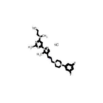 Cc1c(/C=C/CN2CCN(c3cc(F)cc(F)c3)CC2)cnn1-c1cc(N(C)CCO)nc(N)n1.Cl